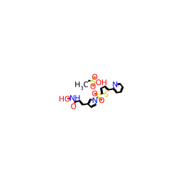 CCS(=O)(=O)O.O=C(C=Cc1ccn(S(=O)(=O)c2ccc(-c3ccccn3)s2)c1)NO